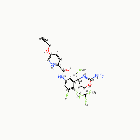 C#CCOc1ccc(C(=O)Nc2cc(F)c(F)c([C@]3(CF)C[C@@H](C(F)(F)F)OC(N)=N3)c2)nc1